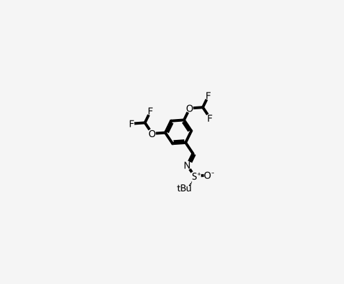 CC(C)(C)[S@@+]([O-])/N=C/c1cc(OC(F)F)cc(OC(F)F)c1